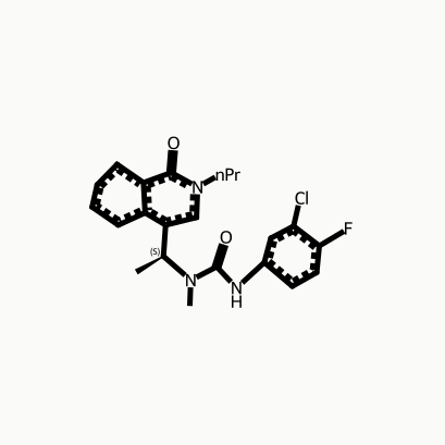 CCCn1cc([C@H](C)N(C)C(=O)Nc2ccc(F)c(Cl)c2)c2ccccc2c1=O